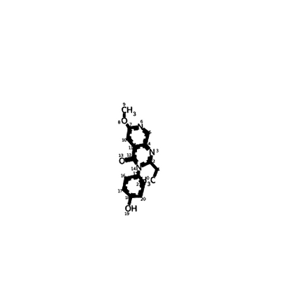 CCc1nc2cnc(OC)cc2c(=O)n1-c1ccc(O)cc1